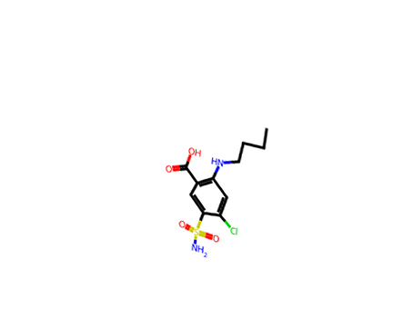 CCCCNc1cc(Cl)c(S(N)(=O)=O)cc1C(=O)O